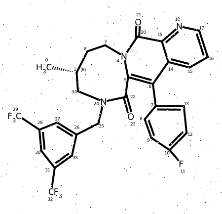 C[C@@H]1CCn2c(c(-c3ccc(F)cc3)c3cccnc3c2=O)C(=O)N(Cc2cc(C(F)(F)F)cc(C(F)(F)F)c2)C1